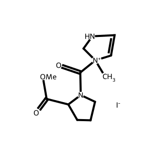 COC(=O)C1CCCN1C(=O)[N+]1(C)C=CNC1.[I-]